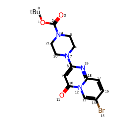 CC(C)(C)OC(=O)N1CCN(c2cc(=O)n3cc(Br)ccc3n2)CC1